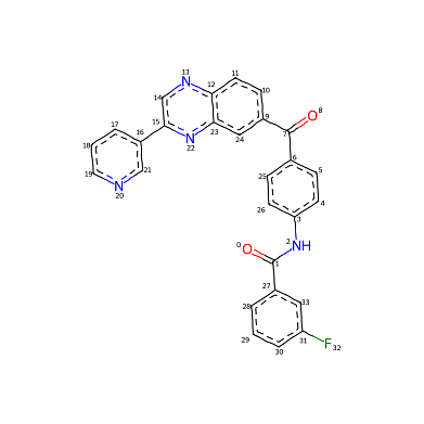 O=C(Nc1ccc(C(=O)c2ccc3ncc(-c4cccnc4)nc3c2)cc1)c1cccc(F)c1